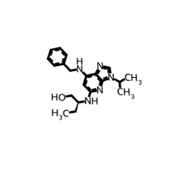 CC[C@@H](CO)Nc1cc(NCc2ccccc2)c2ncn(C(C)C)c2n1